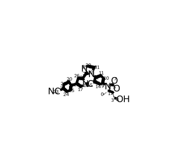 C[C@H]1[C@@H](CO)OC(=O)N1c1ccc2c(c1)Cn1cc(-c3ccc(C#N)cc3)cc1-c1nccn1-2